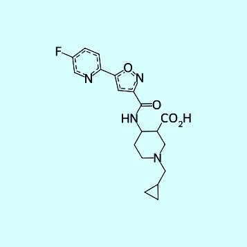 O=C(NC1CCN(CC2CC2)CC1C(=O)O)c1cc(-c2ccc(F)cn2)on1